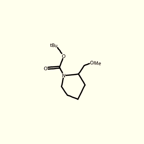 COCC1CCCCN1C(=O)OC(C)(C)C